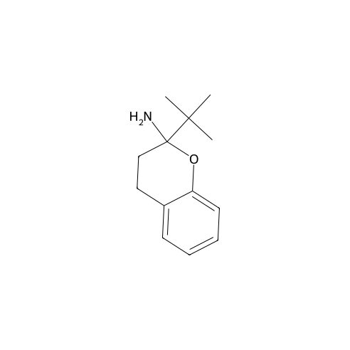 CC(C)(C)C1(N)CCc2ccccc2O1